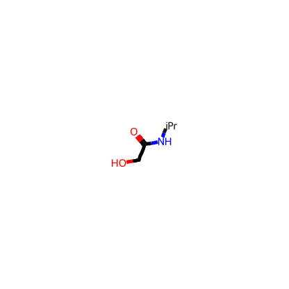 CC(C)NC(=O)CO